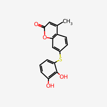 Cc1cc(=O)oc2cc(Sc3cccc(O)c3O)ccc12